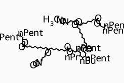 CCCCCC(CCCCC)CCOC(=O)CCCCCCCCC(CCCCCCC(=O)OCCC(CCCCC)CC(CCC)C(CCCC)C(CCCCC)CCOC(=O)CCCCCCCCC1(CCCCCCC(=O)OCCC(CCCCC)CCCCC)OCC(CCN2CCN(C)CC2)O1)OCCCCN1CCOCC1